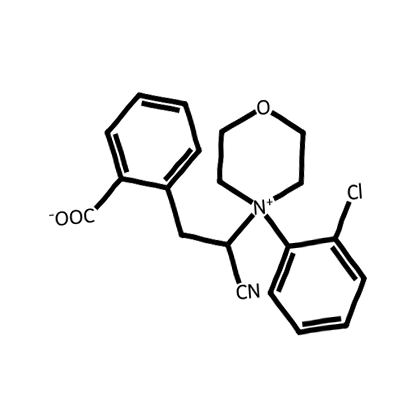 N#CC(Cc1ccccc1C(=O)[O-])[N+]1(c2ccccc2Cl)CCOCC1